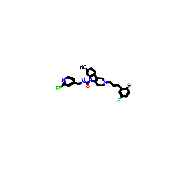 N#Cc1ccc2c3c(n(C(=O)NCc4ccnc(Cl)c4)c2c1)CCN(CC=Cc1cc(F)ccc1Br)C3